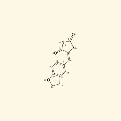 O=C1NC(=O)/C(=C\c2ccc3c(c2)CCO3)S1